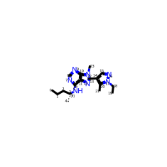 CCC[C@@H](C)Nc1ncnc2c1nc(-c1cnn(CC)c1C)n2C